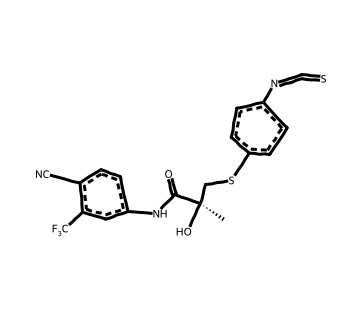 C[C@@](O)(CSc1ccc(N=C=S)cc1)C(=O)Nc1ccc(C#N)c(C(F)(F)F)c1